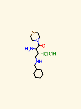 Cl.Cl.NC(CCNCC1CCCCC1)C(=O)N1CCSCC1